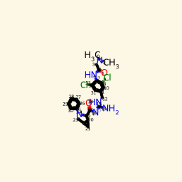 CN(C)CC(=O)Nc1c(Cl)cc(CN/C(N)=N\C(=O)C2C3CC3CN2c2ccccc2)cc1Cl